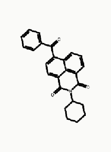 O=C(c1ccccc1)c1ccc2c3c(cccc13)C(=O)N(C1CCCCC1)C2=O